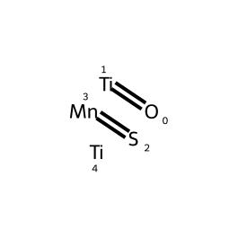 [O]=[Ti].[S]=[Mn].[Ti]